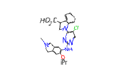 CC(C)Oc1cc2c(cc1Nc1ncc(Cl)c(N3CC(C(=O)O)c4ccccc43)n1)CN(C)CC2